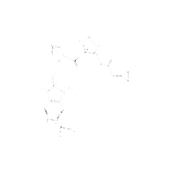 CCn1c(CC[C@@H]2CCCN2C(=O)[C@H]2CCCN2CC(=O)NC2CC2)cc2ccc(C(=N)N)cc21